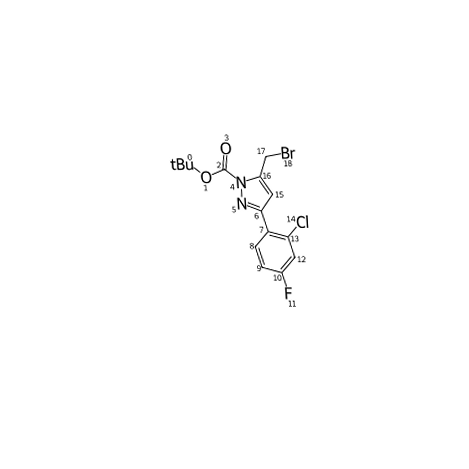 CC(C)(C)OC(=O)n1nc(-c2ccc(F)cc2Cl)cc1CBr